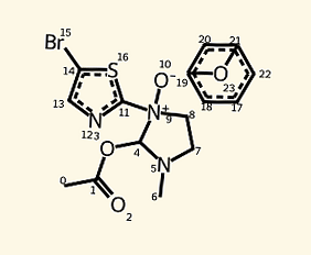 CC(=O)OC1N(C)CC[N+]1([O-])c1ncc(Br)s1.c1cc2cc(c1)O2